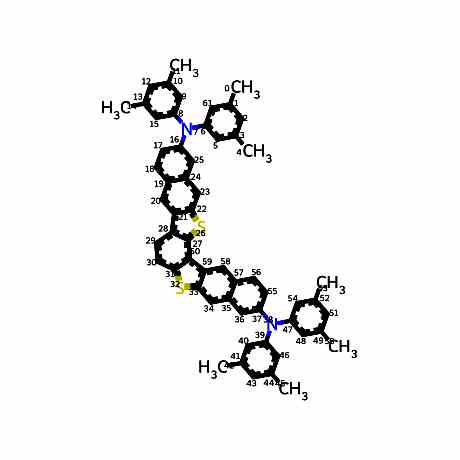 Cc1cc(C)cc(N(c2cc(C)cc(C)c2)c2ccc3cc4c(cc3c2)sc2c4ccc3sc4cc5cc(N(c6cc(C)cc(C)c6)c6cc(C)cc(C)c6)ccc5cc4c32)c1